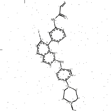 C=CC(=O)Nc1cccc(-c2c(F)ccc3cnc(Nc4ccc(N5CCN(C)CC5)nc4)nc23)c1